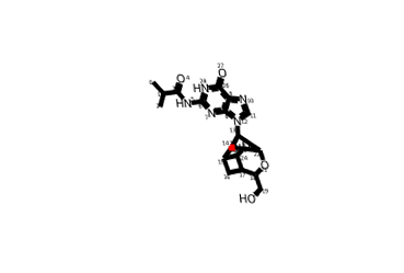 CC(C)C(=O)Nc1nc2c(ncn2C2C3C4CC5C(CO)OC32OC54O)c(=O)[nH]1